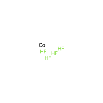 F.F.F.F.[Co]